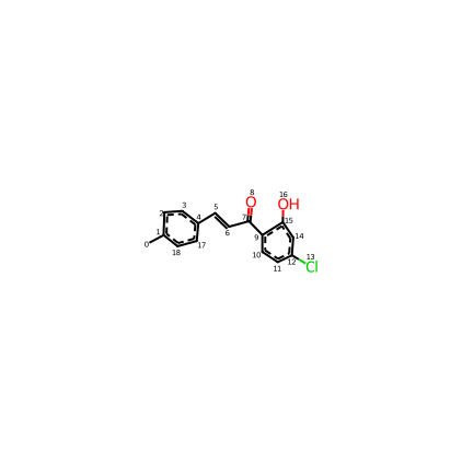 Cc1ccc(C=CC(=O)c2ccc(Cl)cc2O)cc1